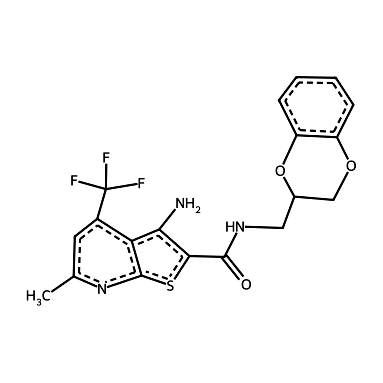 Cc1cc(C(F)(F)F)c2c(N)c(C(=O)NCC3COc4ccccc4O3)sc2n1